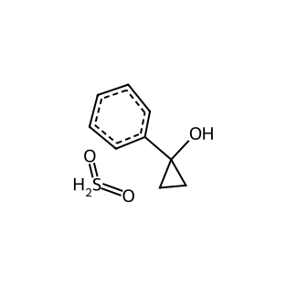 O=[SH2]=O.OC1(c2ccccc2)CC1